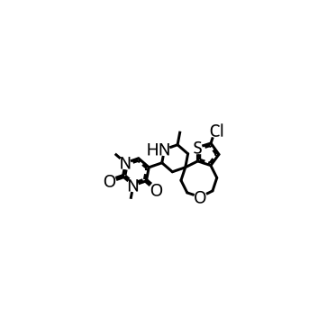 CC1CC2(CCOCCc3cc(Cl)sc32)CC(c2cn(C)c(=O)n(C)c2=O)N1